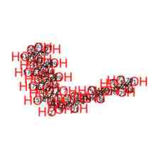 CC(=O)C(O)O.O=C(CO)[C@@H](O)[C@@H](O)[C@H](O)CO.O=C(CO)[C@@H](O)[C@H](O)CO.O=C(CO)[C@@H](O)[C@H](O)[C@H](O)CO.O=C(CO)[C@H](O)CO.O=C(CO)[C@H](O)[C@@H](O)[C@H](O)CO.O=C(CO)[C@H](O)[C@H](O)CO.O=C(CO)[C@H](O)[C@H](O)[C@H](O)CO